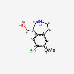 COc1cc2c(cc1Br)[C@H](CO)CNCC2